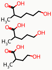 CC(CCCCO)C(=O)O.CC(CCCO)C(=O)O.CC(CCO)C(=O)O